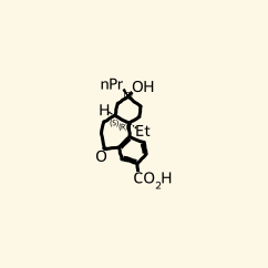 CCC[C@@]1(O)CC[C@@]2(CC)c3ccc(C(=O)O)cc3C(=O)CC[C@H]2C1